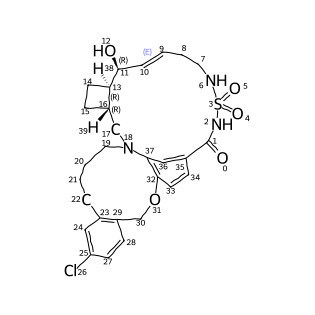 O=C1NS(=O)(=O)NCC/C=C/[C@H](O)[C@@H]2CC[C@H]2CN2CCCCc3cc(Cl)ccc3COc3ccc1cc32